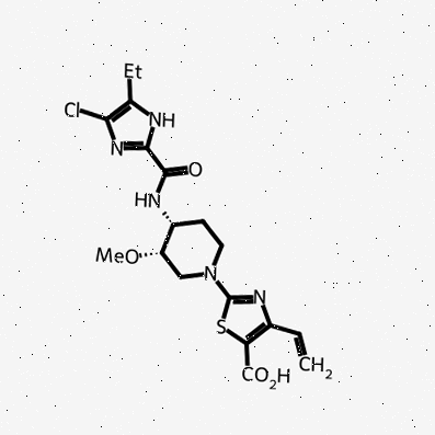 C=Cc1nc(N2CC[C@@H](NC(=O)c3nc(Cl)c(CC)[nH]3)[C@@H](OC)C2)sc1C(=O)O